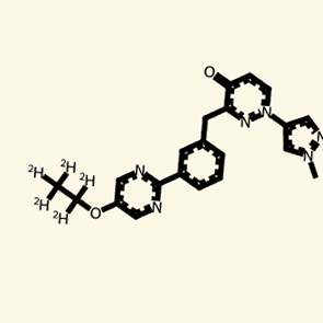 [2H]C([2H])([2H])C([2H])([2H])Oc1cnc(-c2cccc(Cc3nn(-c4cnn(C)c4)ccc3=O)c2)nc1